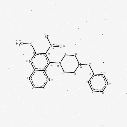 CSc1nc2cccnc2c(N2CCN(Cc3ccccc3)CC2)c1[N+](=O)[O-]